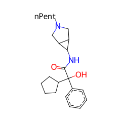 CCCCCN1CC2C(C1)C2NC(=O)C(O)(c1ccccc1)C1CCCC1